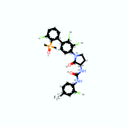 CP(C)(=O)c1c(F)cccc1-c1ccc(N2CC[C@@H](NC(=O)Nc3ccc(C(F)(F)F)cc3F)C2=O)c(F)c1F